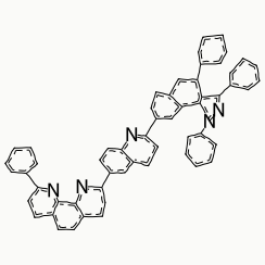 c1ccc(-c2ccc3ccc4ccc(-c5ccc6nc(-c7ccc8cc(-c9ccccc9)c9c(-c%10ccccc%10)nn(-c%10ccccc%10)c9c8c7)ccc6c5)nc4c3n2)cc1